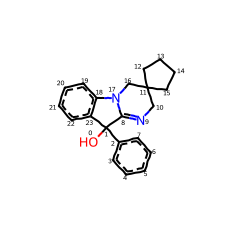 OC1(c2ccccc2)C2=NCC3(CCCC3)CN2c2ccccc21